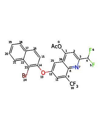 CC(=O)Oc1cc(C(F)F)nc2c(C(F)(F)F)cc(Oc3ccc4ccccc4c3Br)cc12